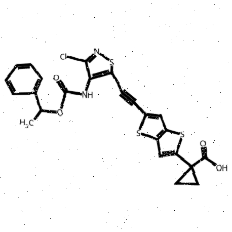 CC(OC(=O)Nc1c(Cl)nsc1C#Cc1cc2sc(C3(C(=O)O)CC3)cc2s1)c1ccccc1